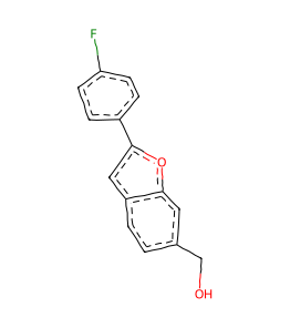 OCc1ccc2cc(-c3ccc(F)cc3)oc2c1